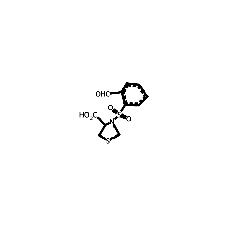 O=Cc1ccccc1S(=O)(=O)N1CSCC1C(=O)O